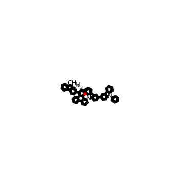 CC1(C)c2ccccc2-c2ccc(-c3cccc4c3c3ccccc3c3cccc(-n5c6ccccc6c6cc(-c7ccc8c(c7)c7ccccc7n8-c7ccccc7)ccc65)c34)cc21